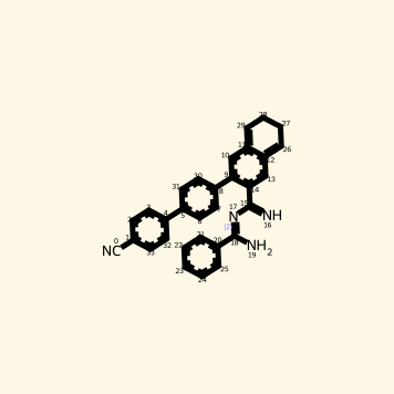 N#Cc1ccc(-c2ccc(-c3cc4c(cc3C(=N)/N=C(\N)c3ccccc3)=CCCC=4)cc2)cc1